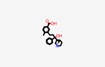 Cc1ccc(C(=O)O)cc1CCC(O)(c1ccccc1)C1CN2CCC1CC2